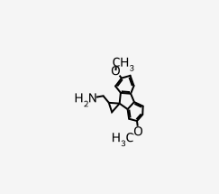 COc1ccc2c(c1)C1(CC1CN)c1cc(OC)ccc1-2